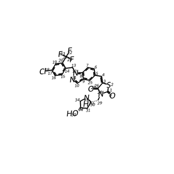 O=C1SC(=Cc2ccc3c(cnn3Cc3ccc(Cl)cc3C(F)(F)F)c2)C(=O)N1C[C@@H]1C[C@H](O)CN1